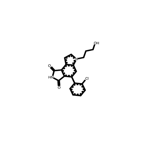 O=C1NC(=O)c2c1c(-c1ccccc1Cl)cc1c2ccn1CCCO